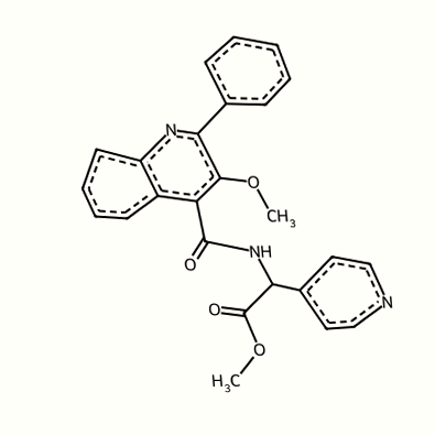 COC(=O)C(NC(=O)c1c(OC)c(-c2ccccc2)nc2ccccc12)c1ccncc1